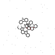 C/C=C\c1c(C)n(-c2nc(-c3ccccc3)nc(-c3cccc4sc5ccccc5c34)n2)c2c1ccc1c3ccccc3n(-c3ccc4c(c3)oc3cccc(-c5ccccc5)c34)c12